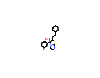 OC1(c2cccc(Cl)c2)C(CCc2ccccc2)SC2=NCCN21